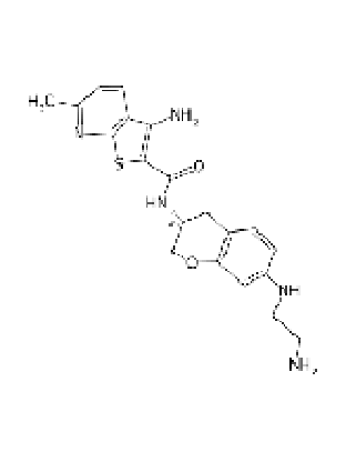 Cc1ccc2c(N)c(C(=O)N[C@H]3COc4cc(NCCN)ccc4C3)sc2n1